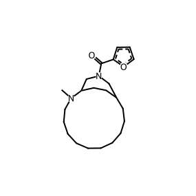 CN1CCCCCCCCCCC2CCC1CN(C(=O)c1ccco1)C2